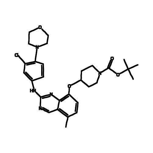 Cc1ccc(OC2CCN(C(=O)OC(C)(C)C)CC2)c2nc(Nc3ccc(N4CCOCC4)c(Cl)c3)ncc12